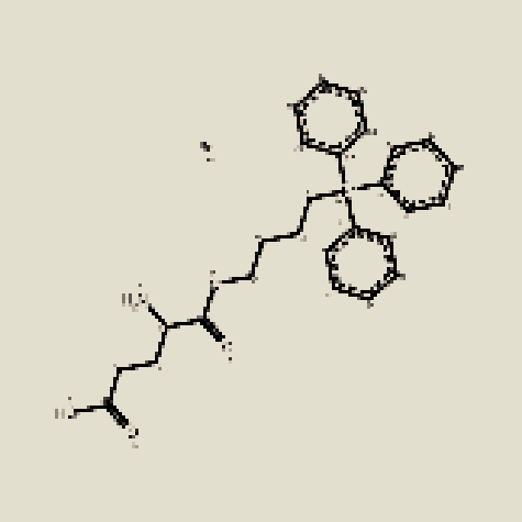 NC(CCC(=O)O)C(=O)OCCCC[P+](c1ccccc1)(c1ccccc1)c1ccccc1.[Br-]